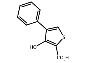 O=C(O)c1scc(-c2ccccc2)c1O